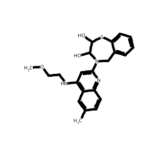 COCCNc1cc(N2Cc3ccccc3SC(O)C2O)nc2ccc(C)cc12